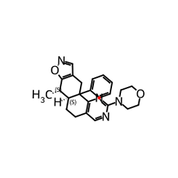 C[C@@H]1c2oncc2CC2(c3ccccc3)c3nc(N4CCOCC4)ncc3CC[C@@H]12